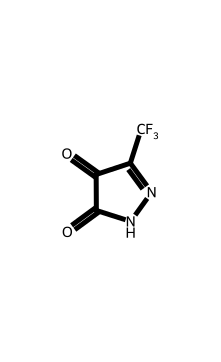 O=C1NN=C(C(F)(F)F)C1=O